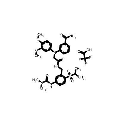 COc1ccc(N(CC(=O)NCc2cc(NC(=O)N(C)C)ccc2S(=O)(=O)C(C)C)c2cccc(C(N)=O)c2)cc1OC.O=C(O)C(F)(F)F